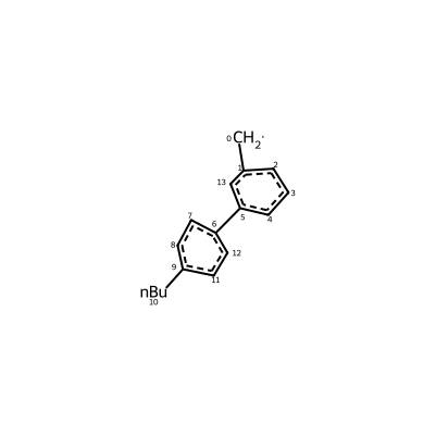 [CH2]c1cccc(-c2ccc(CCCC)cc2)c1